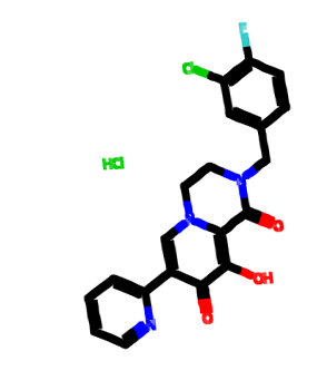 Cl.O=C1c2c(O)c(=O)c(-c3ccccn3)cn2CCN1Cc1ccc(F)c(Cl)c1